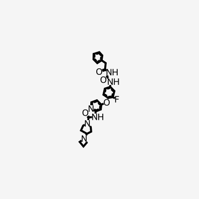 O=C(Cc1ccccc1)NC(=O)Nc1ccc(Oc2ccnc(NC(=O)N3CCC(N4CCC4)CC3)c2)c(F)c1